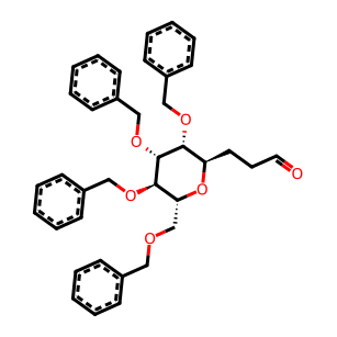 O=CCC[C@H]1O[C@H](COCc2ccccc2)[C@@H](OCc2ccccc2)[C@H](OCc2ccccc2)[C@@H]1OCc1ccccc1